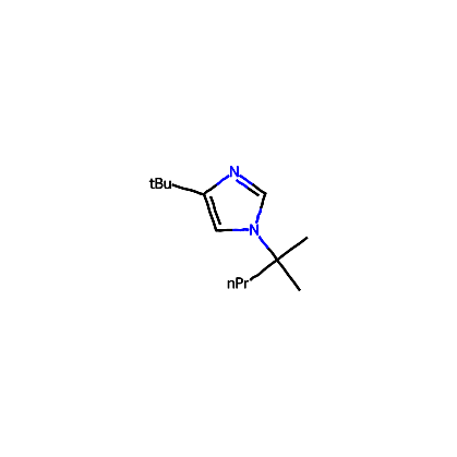 CCCC(C)(C)n1cnc(C(C)(C)C)c1